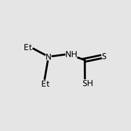 CCN(CC)NC(=S)S